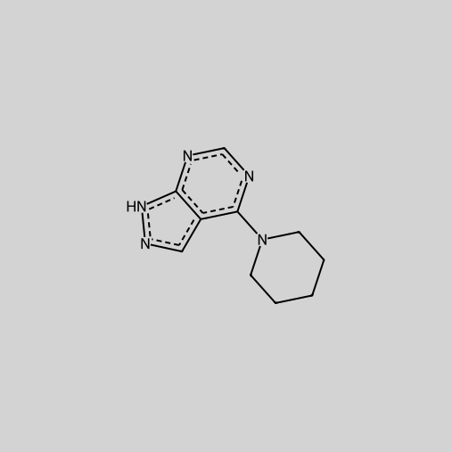 c1nc(N2CCCCC2)c2cn[nH]c2n1